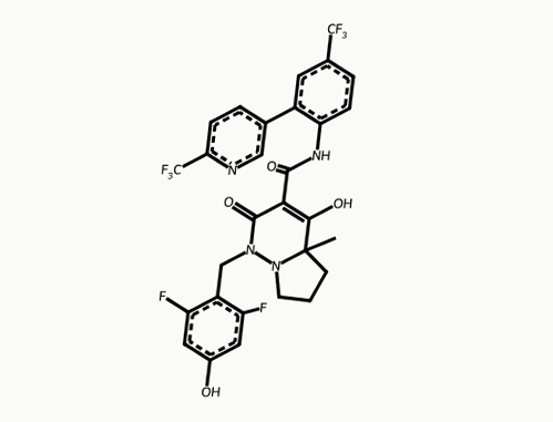 CC12CCCN1N(Cc1c(F)cc(O)cc1F)C(=O)C(C(=O)Nc1ccc(C(F)(F)F)cc1-c1ccc(C(F)(F)F)nc1)=C2O